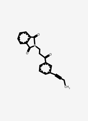 CCC#Cc1cccc(C(=O)CCN2C(=O)c3ccccc3C2=O)c1